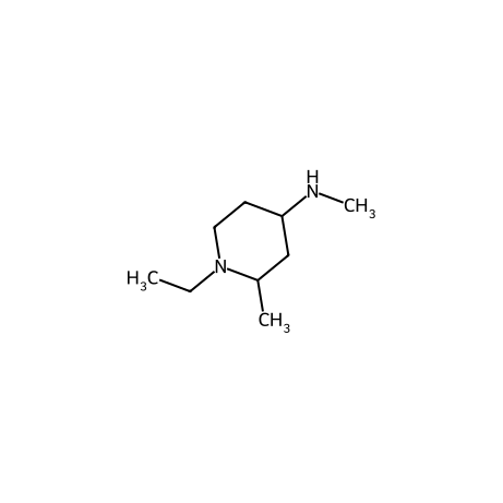 CCN1CCC(NC)CC1C